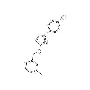 Cc1cc[c]c(COc2ccn(-c3ccc(Cl)cc3)n2)c1